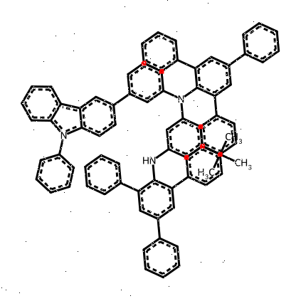 CC(C)(C)c1cc(Nc2c(-c3ccccc3)cc(-c3ccccc3)cc2-c2ccccc2)cc(N(c2cccc(-c3ccc4c(c3)c3ccccc3n4-c3ccccc3)c2)c2c(-c3ccccc3)cc(-c3ccccc3)cc2-c2ccccc2)c1